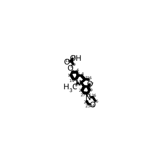 C[n+]1c2c(cc3cc(OCC(=O)O)ccc31)COc1cc(N3CCOCC3)ccc1-2